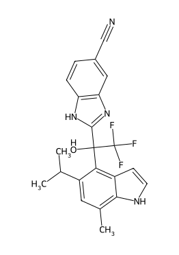 Cc1cc(C(C)C)c(C(O)(c2nc3cc(C#N)ccc3[nH]2)C(F)(F)F)c2cc[nH]c12